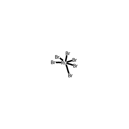 [Br][Ru]([Br])([Br])([Br])([Br])[Br]